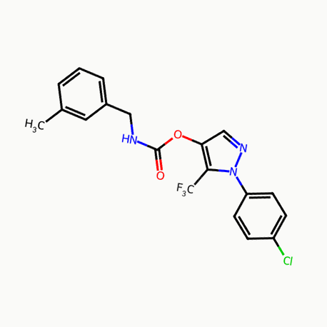 Cc1cccc(CNC(=O)Oc2cnn(-c3ccc(Cl)cc3)c2C(F)(F)F)c1